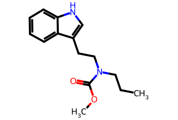 CCCN(CCc1c[nH]c2ccccc12)C(=O)OC